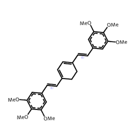 COc1cc(/C=C/C2=CC=C(/C=C/c3cc(OC)c(OC)c(OC)c3)CC2)cc(OC)c1OC